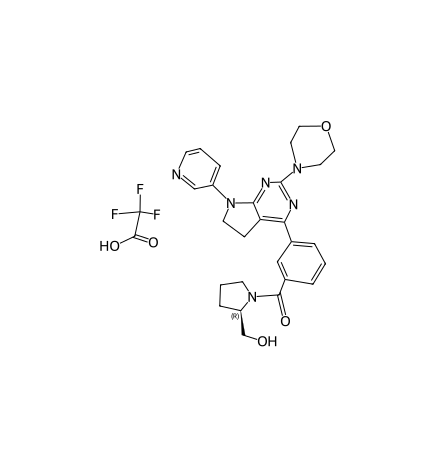 O=C(O)C(F)(F)F.O=C(c1cccc(-c2nc(N3CCOCC3)nc3c2CCN3c2cccnc2)c1)N1CCC[C@@H]1CO